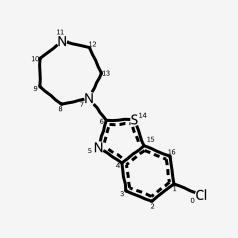 Clc1ccc2nc(N3CCC[N]CC3)sc2c1